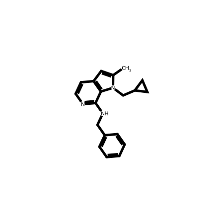 Cc1cc2ccnc(NCc3ccccc3)c2n1CC1CC1